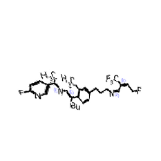 CCC(C)/C(=C\N=C(/C)c1ccc(F)nc1)c1ccc(CCC/N=C\C(=C/CF)C(F)(F)F)cc1C